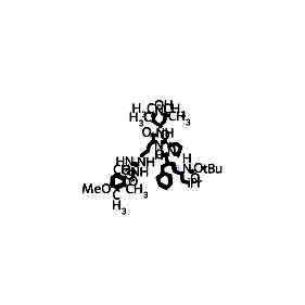 COc1cc(C)c(S(=O)(=O)NC(=N)NCCCC(NC(=O)[C@@H]2CCCN2C(=O)C(/C=C/C(CC(C)C)NC(=O)OC(C)(C)C)Cc2ccccc2)C(=O)NC2CC(C)(C)N(O)C(C)(C)C2)c(C)c1C